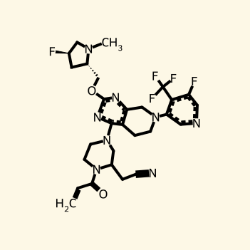 C=CC(=O)N1CCN(c2nc(OC[C@@H]3C[C@@H](F)CN3C)nc3c2CCN(c2cncc(F)c2C(F)(F)F)C3)CC1CC#N